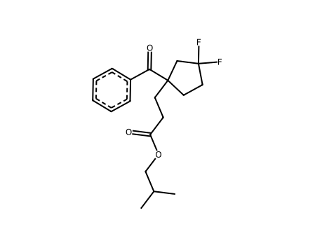 CC(C)COC(=O)CCC1(C(=O)c2ccccc2)CCC(F)(F)C1